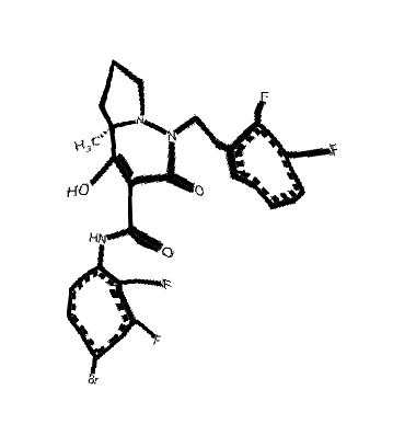 C[C@]12CCCN1N(Cc1cccc(F)c1F)C(=O)C(C(=O)Nc1ccc(Br)c(F)c1F)=C2O